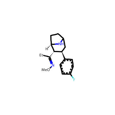 CCC(=NOC)[C@@H]1[C@H]2CCC(C[C@H]1c1ccc(F)cc1)N2